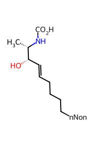 CCCCCCCCCCCCC/C=C/[C@H](O)[C@H](C)NC(=O)O